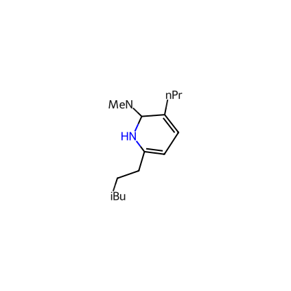 CCCC1=CC=C(CCC(C)CC)NC1NC